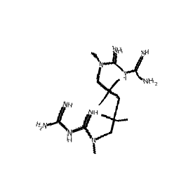 CN(CC(C)(C)CC(C)(C)CN(C)C(=N)NC(=N)N)C(=N)NC(=N)N